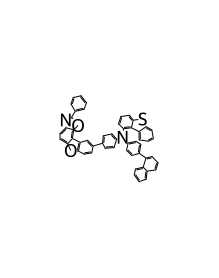 c1ccc(-c2nc3ccc4oc5ccc(-c6ccc(N(c7ccc(-c8cccc9ccccc89)cc7)c7cccc8sc9ccccc9c78)cc6)cc5c4c3o2)cc1